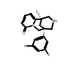 O=c1cccc2n1C[C@]1(c3cc(F)cc(F)c3)CNC[C@H]2C1